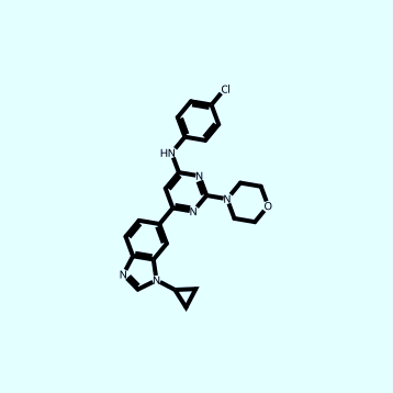 Clc1ccc(Nc2cc(-c3ccc4ncn(C5CC5)c4c3)nc(N3CCOCC3)n2)cc1